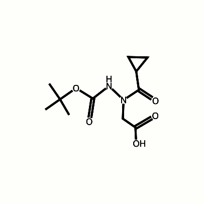 CC(C)(C)OC(=O)NN(CC(=O)O)C(=O)C1CC1